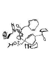 CC(C)(C)NN.Cl.O=C(Cl)c1ccccc1.O=C(O)CC1(Cl)C=CC(C(=O)Cl)C=C1